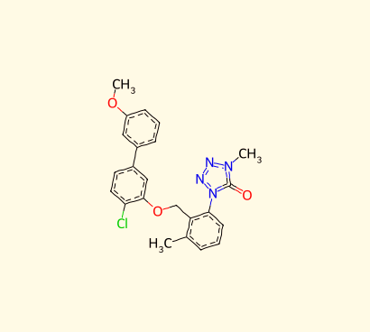 COc1cccc(-c2ccc(Cl)c(OCc3c(C)cccc3-n3nnn(C)c3=O)c2)c1